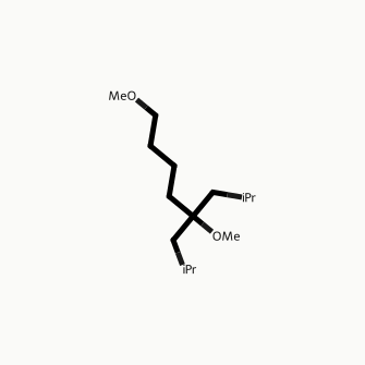 COCCCCC(CC(C)C)(CC(C)C)OC